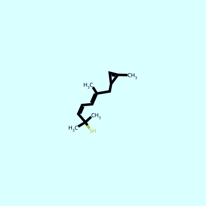 CC1=CC1C/C(C)=C/C=C\C(C)(C)S